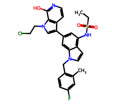 CCS(=O)(=O)Nc1cc(-c2cn(CCCl)c3c(O)nccc23)cc2c1ccn2Cc1ccc(F)cc1C